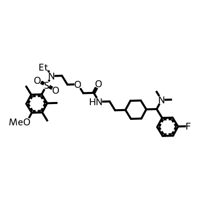 CCN(CCOCC(=O)NCCC1CCC(C(c2cccc(F)c2)N(C)C)CC1)S(=O)(=O)c1c(C)cc(OC)c(C)c1C